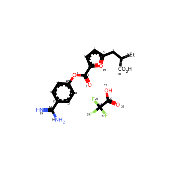 CCC(Cc1ccc(C(=O)Oc2ccc(C(=N)N)cc2)o1)C(=O)O.O=C(O)C(F)(F)F